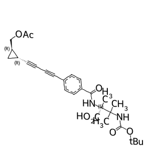 CC(=O)OC[C@@H]1C[C@H]1C#CC#Cc1ccc(C(=O)N[C@](C)(C(=O)O)C(C)(C)NC(=O)OC(C)(C)C)cc1